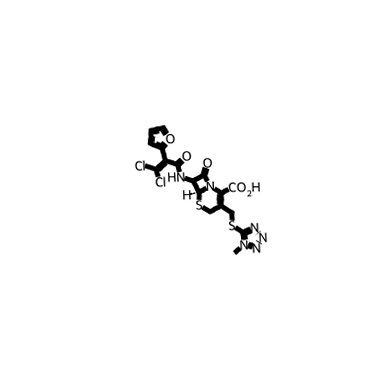 Cn1nnnc1SCC1=C(C(=O)O)N2C(=O)C(NC(=O)C(=C(Cl)Cl)c3ccco3)[C@@H]2SC1